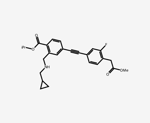 COC(=O)Cc1ccc(C#Cc2ccc(C(=O)OC(C)C)c(CNCC3CC3)c2)cc1F